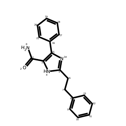 NC(=O)c1[nH]c([CH]Cc2ccccc2)nc1-c1ccccc1